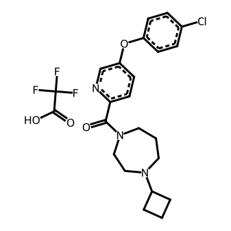 O=C(O)C(F)(F)F.O=C(c1ccc(Oc2ccc(Cl)cc2)cn1)N1CCCN(C2CCC2)CC1